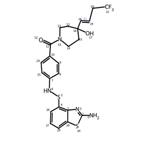 Nc1nc2c(SNc3ccc(C(=O)N4CCC(O)(/C=C/CC(F)(F)F)CC4)cc3)cccc2s1